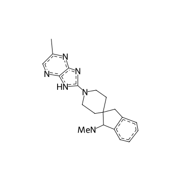 CNC1c2ccccc2CC12CCN(c1nc3nc(C)cnc3[nH]1)CC2